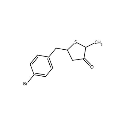 CC1SC(Cc2ccc(Br)cc2)CC1=O